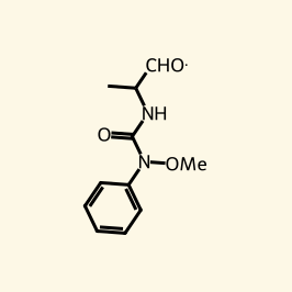 CON(C(=O)NC(C)[C]=O)c1ccccc1